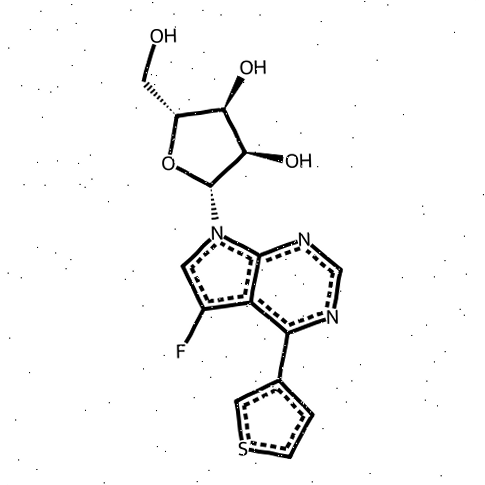 OC[C@H]1O[C@@H](n2cc(F)c3c(-c4ccsc4)ncnc32)[C@H](O)[C@@H]1O